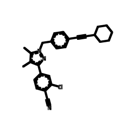 Cc1c(-c2ccc(C#N)c(Cl)c2)nn(Cc2ccc(C#CC3CCCCC3)cc2)c1C